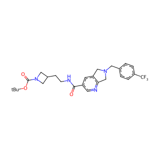 CC(C)(C)OC(=O)N1CC(CCNC(=O)c2cnc3c(c2)CN(Cc2ccc(C(F)(F)F)cc2)C3)C1